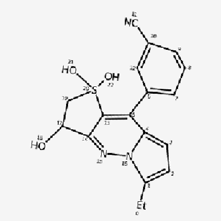 CCc1ccc2c(-c3cccc(C#N)c3)c3c(nn12)C(O)CS3(O)O